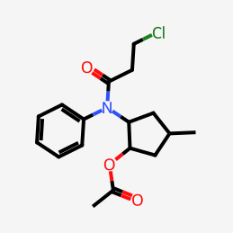 CC(=O)OC1CC(C)CC1N(C(=O)CCCl)c1ccccc1